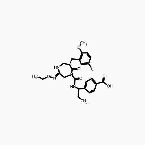 CCO/N=C1/CN(C(=O)NC(CC)c2ccc(C(=O)O)cc2)C(=O)[C@H](Cc2cc(Cl)ccc2OC)CN1